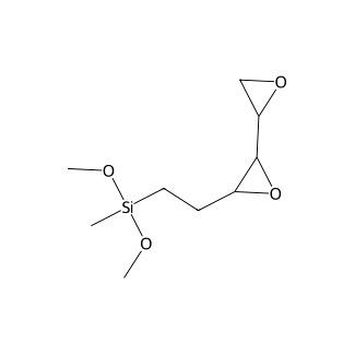 CO[Si](C)(CCC1OC1C1CO1)OC